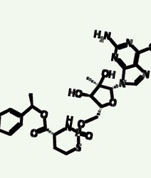 COc1nc(N)nc2c1ncn2[C@@H]1O[C@H](CO[P@]2(=O)N[C@@H](C(=O)O[C@H](C)c3ccccc3)CCS2)[C@@H](O)[C@@]1(C)O